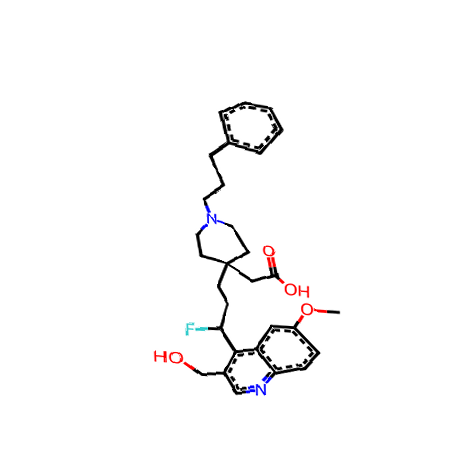 COc1ccc2ncc(CO)c(C(F)CCC3(CC(=O)O)CCN(CCCc4ccccc4)CC3)c2c1